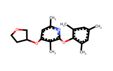 Cc1cc(C)c(Oc2nc(C)cc(OC3CCOC3)c2C)c(C)c1